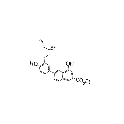 C=CCC(CC)CCc1cc(-c2ccc3cc(C(=O)OCC)cc(O)c3c2)ccc1O